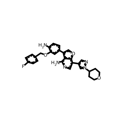 Nc1ccc(-c2coc3c(-c4cnn(C5CCOCC5)c4)cnc(N)c23)cc1OCc1ccc(F)cc1